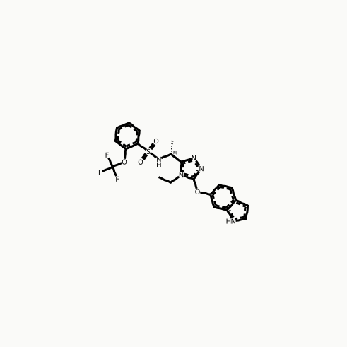 CCn1c(Oc2ccc3cc[nH]c3c2)nnc1[C@@H](C)NS(=O)(=O)c1ccccc1OC(F)(F)F